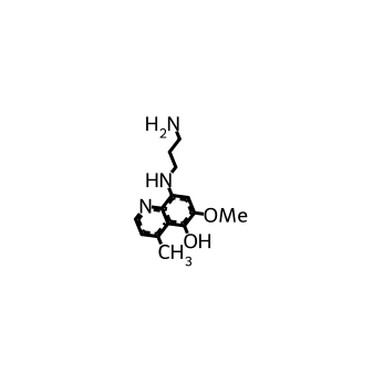 COc1cc(NCCCN)c2nccc(C)c2c1O